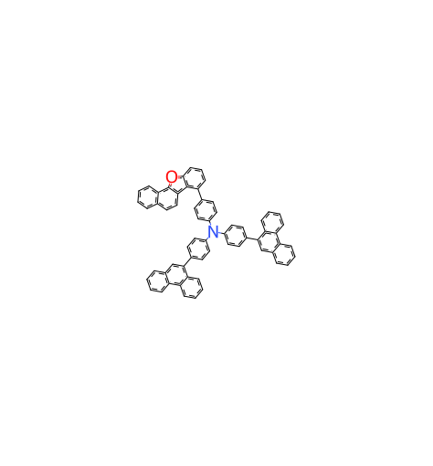 c1ccc2c(c1)cc(-c1ccc(N(c3ccc(-c4cc5ccccc5c5ccccc45)cc3)c3ccc(-c4cccc5oc6c7ccccc7ccc6c45)cc3)cc1)c1ccccc12